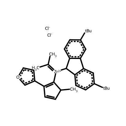 C[C](C)=[Zr+2]([C]1=C(c2ccoc2)C=CC1C)[CH]1c2ccc(C(C)(C)C)cc2-c2cc(C(C)(C)C)ccc21.[Cl-].[Cl-]